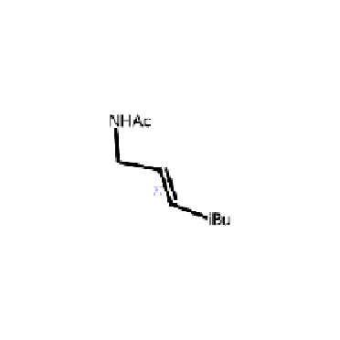 CCC(C)/C=C/CNC(C)=O